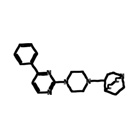 c1ccc(-c2ccnc(N3CCN(C4CCN5CCC4CC5)CC3)n2)cc1